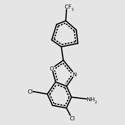 Nc1c(Cl)cc(Cl)c2oc(-c3ccc(C(F)(F)F)cc3)nc12